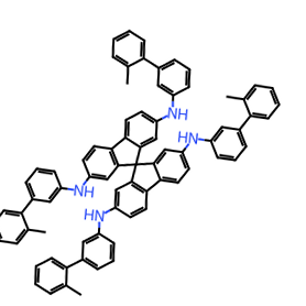 Cc1ccccc1-c1cccc(Nc2ccc3c(c2)C2(c4cc(Nc5cccc(-c6ccccc6C)c5)ccc4-3)c3cc(Nc4cccc(-c5ccccc5C)c4)ccc3-c3ccc(Nc4cccc(-c5ccccc5C)c4)cc32)c1